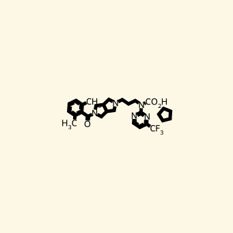 C1CCCC1.Cc1cccc(C)c1C(=O)N1CC2CN(CCCN(C(=O)O)c3nccc(C(F)(F)F)n3)CC2C1